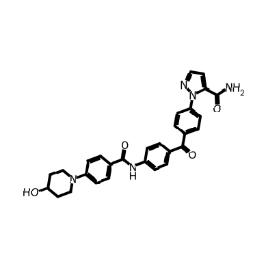 NC(=O)c1ccnn1-c1ccc(C(=O)c2ccc(NC(=O)c3ccc(N4CCC(O)CC4)cc3)cc2)cc1